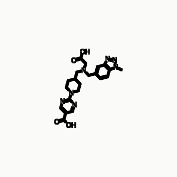 Cn1nnc2cc(CN(CC(=O)O)CC3CCN(c4ncc(C(=O)O)cn4)CC3)ccc21